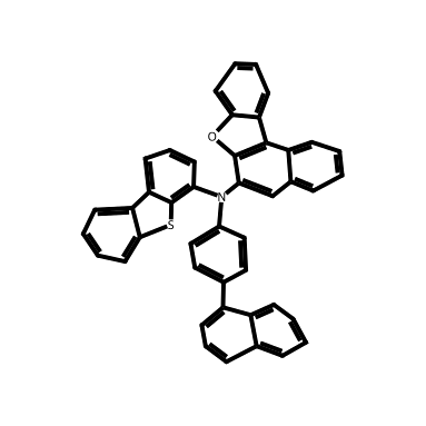 c1ccc2c(-c3ccc(N(c4cc5ccccc5c5c4oc4ccccc45)c4cccc5c4sc4ccccc45)cc3)cccc2c1